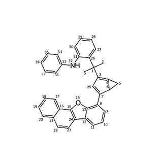 CC(C)(C1=C2CC2C(c2cccc3c2oc2c4ccccc4ccc32)=C1)c1ccccc1Nc1ccccc1